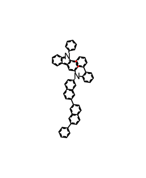 c1ccc(-c2ccc3ccc(-c4ccc5ccc(N(c6ccc7c(c6)c6ccccc6n7-c6ccccc6)c6ccccc6-c6ccccc6)cc5c4)cc3c2)cc1